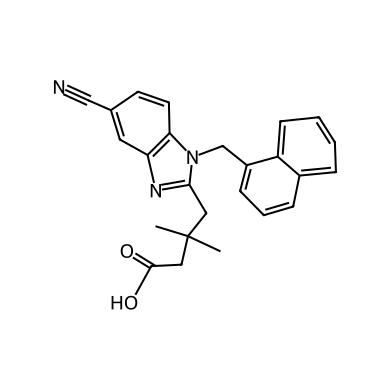 CC(C)(CC(=O)O)Cc1nc2cc(C#N)ccc2n1Cc1cccc2ccccc12